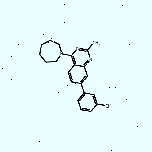 Cc1nc(N2CCCCCC2)c2ccc(-c3cccc(C(F)(F)F)c3)cc2n1